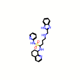 O=S(=O)(Nc1ccccn1)C(CCCNCc1nc2ccccc2[nH]1)NC1CCCc2cccnc21